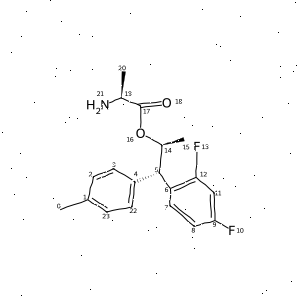 Cc1ccc([C@@H](c2ccc(F)cc2F)[C@H](C)OC(=O)[C@H](C)N)cc1